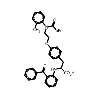 CCCC(=O)N(CCOc1ccc(C[C@H](Nc2ccccc2C(=O)c2ccccc2)C(=O)O)cc1)c1ccccc1C